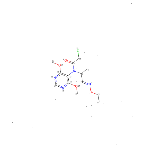 CCON=CC(C)N(C(=O)CCl)c1c(OC)ncnc1OC